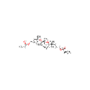 C=CC(=O)OCCC[Si](C)(C)OC(C)[Si](C)(C)OC(C)[Si](C)(C)CCCOC(=O)C=C